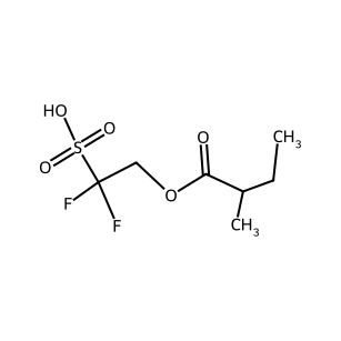 CCC(C)C(=O)OCC(F)(F)S(=O)(=O)O